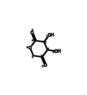 O=C1COC(=O)C(O)C1O